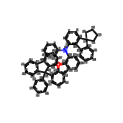 c1ccc(N(c2cccc3c2-c2ccccc2C32CCCC2)c2cccc3c2oc2c(C4(c5ccccc5)c5ccccc5-c5ccccc54)cccc23)cc1